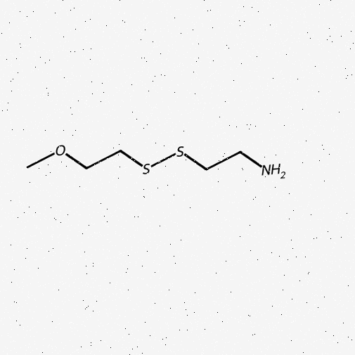 COCCSSCCN